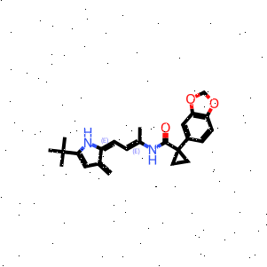 C=c1cc(C(C)(C)C)[nH]/c1=C/C=C(\C)NC(=O)C1(c2ccc3c(c2)OCO3)CC1